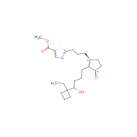 CCC1(C(O)CCCC2[C@@H](CCCc3ncc(C(=O)OC)s3)CC[C@H]2Cl)CCC1